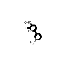 CN1C=C(c2ccc(C=O)c(=O)[nH]2)C=CC1